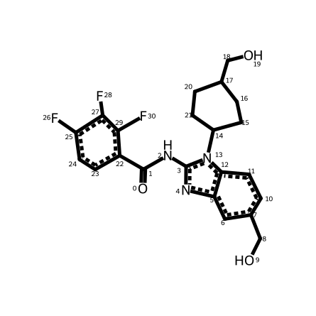 O=C(Nc1nc2cc(CO)ccc2n1C1CCC(CO)CC1)c1ccc(F)c(F)c1F